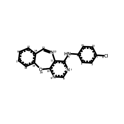 Clc1ccc(Nc2ncnc3c2N=Cc2ccccc2O3)cc1